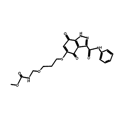 COC(=O)NCOCCCSC1=CC(=O)c2[nH]nc(C(=O)Nc3ccccc3)c2C1=O